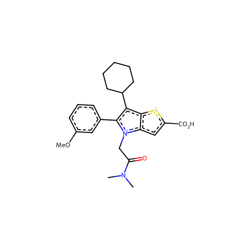 COc1cccc(-c2c(C3CCCCC3)c3sc(C(=O)O)cc3n2CC(=O)N(C)C)c1